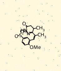 COc1ccc([S+](C)[O-])cc1C=C(C)C1=NNC(=O)CC1C